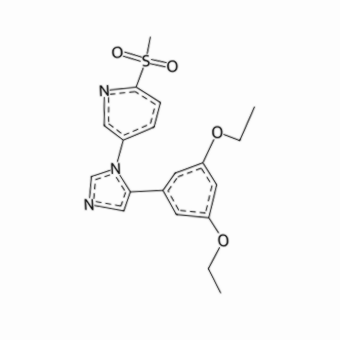 CCOc1cc(OCC)cc(-c2cncn2-c2ccc(S(C)(=O)=O)nc2)c1